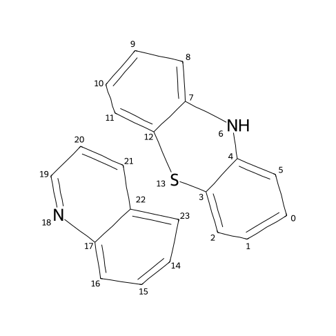 c1ccc2c(c1)Nc1ccccc1S2.c1ccc2ncccc2c1